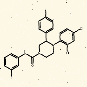 O=C(Nc1cccc(Cl)c1)N1CCN(c2ccc(Cl)cc2Cl)C(c2ccc(Cl)cc2)C1